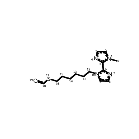 Cn1ccnc1-c1nccn1CCCCCCSC=O